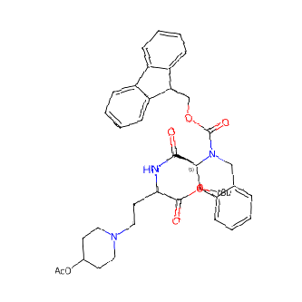 CC(=O)OC1CCN(CCC(NC(=O)[C@@H]2Cc3ccccc3CN2C(=O)OCC2c3ccccc3-c3ccccc32)C(=O)OC(C)(C)C)CC1